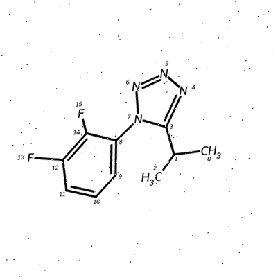 CC(C)c1nnnn1-c1cccc(F)c1F